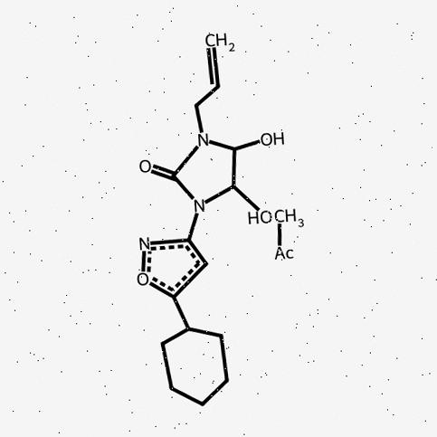 C=CCN1C(=O)N(c2cc(C3CCCCC3)on2)C(O)C1O.CC(C)=O